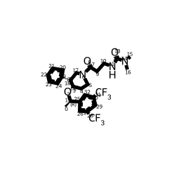 C[C@@H](O[C@H]1CCN(C(=O)CCNC(=O)N(C)C)C[C@H]1c1ccccc1)c1cc(C(F)(F)F)cc(C(F)(F)F)c1